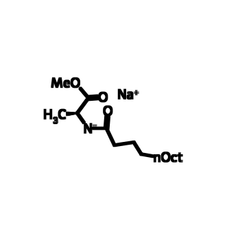 CCCCCCCCCCCC(=O)[N-][C@@H](C)C(=O)OC.[Na+]